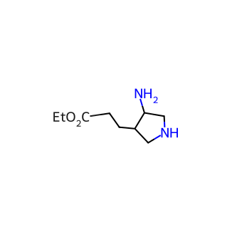 CCOC(=O)CCC1CNCC1N